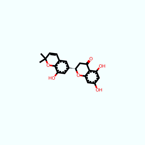 CC1(C)C=Cc2cc([C@@H]3CC(=O)c4c(O)cc(O)cc4O3)cc(O)c2O1